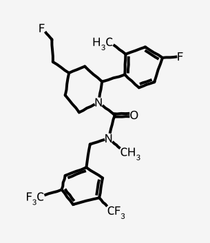 Cc1cc(F)ccc1C1CC(CCF)CCN1C(=O)N(C)Cc1cc(C(F)(F)F)cc(C(F)(F)F)c1